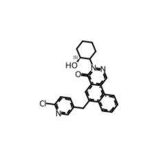 O=c1c2cc(Cc3ccc(Cl)nc3)c3ccccc3c2cnn1C1CCCC[C@@H]1O